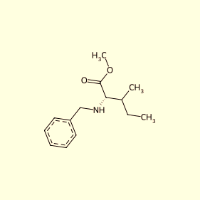 CCC(C)[C@H](NCc1ccccc1)C(=O)OC